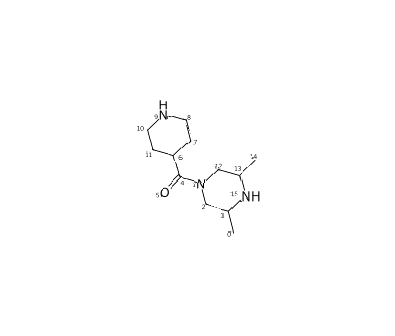 CC1CN(C(=O)C2CCNCC2)CC(C)N1